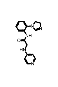 O=C(CNc1ccncc1)Nc1ccccc1N1C=NCC1